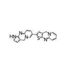 C1=CC2=Nc3sc(C4=CN5Cc6cc[nH]c6N=C5C=C4)cc3CN2C=C1